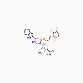 CC(C)C[C@H](NC(=O)c1cc2ccccc2[nH]1)C(=O)N[C@@H](C[C@@H]1CCNC1=O)C(=O)COc1c(F)ccc(F)c1F